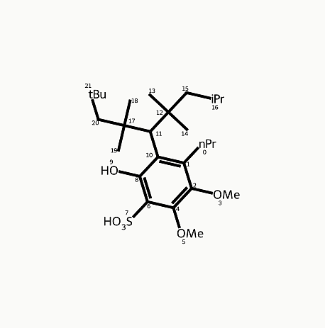 CCCc1c(OC)c(OC)c(S(=O)(=O)O)c(O)c1C(C(C)(C)CC(C)C)C(C)(C)CC(C)(C)C